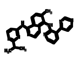 Cc1ccc2c(Nc3ccnc(C(C)C)n3)nccc2c1Nc1ncccc1-c1ccncn1